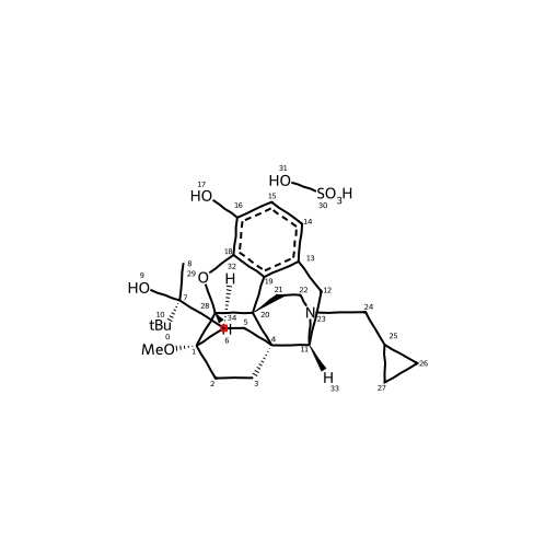 CO[C@@]12CC[C@@]3(C[C@@H]1[C@](C)(O)C(C)(C)C)[C@H]1Cc4ccc(O)c5c4[C@@]3(CCN1CC1CC1)[C@H]2O5.O=S(=O)(O)O